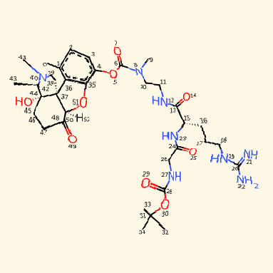 Cc1ccc(OC(=O)N(C)CCNC(=O)[C@H](CCCNC(=N)N)NC(=O)CNC(=O)OC(C)(C)C)c2c1[C@]13CCN(C)[C@H](C)[C@]1(O)CCC(=O)[C@@H]3O2